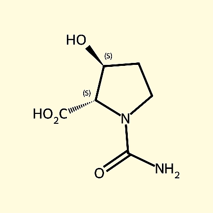 NC(=O)N1CC[C@H](O)[C@H]1C(=O)O